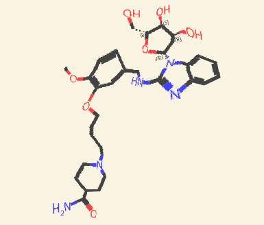 COc1ccc(CNc2nc3ccccc3n2[C@@H]2O[C@H](CO)[C@@H](O)[C@H]2O)cc1OCCCN1CCC(C(N)=O)CC1